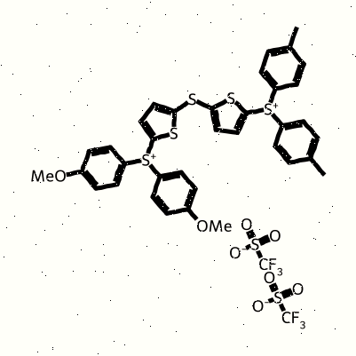 COc1ccc([S+](c2ccc(OC)cc2)c2ccc(Sc3ccc([S+](c4ccc(C)cc4)c4ccc(C)cc4)s3)s2)cc1.O=S(=O)([O-])C(F)(F)F.O=S(=O)([O-])C(F)(F)F